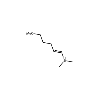 COCCCC=C[SiH](C)C